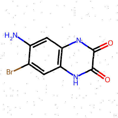 Nc1cc2c(cc1Br)NC(=O)C(=O)[N]2